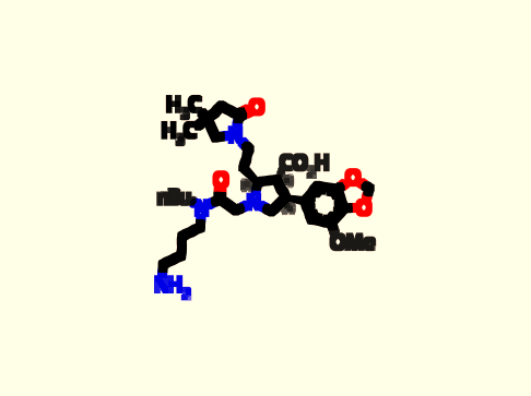 CCCCN(CCCCN)C(=O)CN1C[C@H](c2cc(OC)c3c(c2)OCO3)[C@@H](C(=O)O)[C@@H]1CCN1CC(C)(C)CC1=O